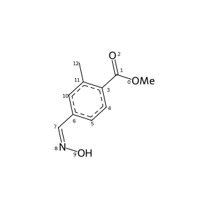 COC(=O)c1ccc(/C=N\O)cc1C